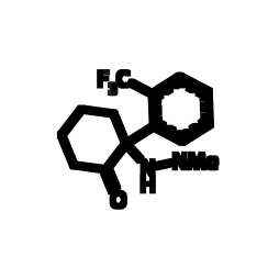 CNNC1(c2ccccc2C(F)(F)F)CCCCC1=O